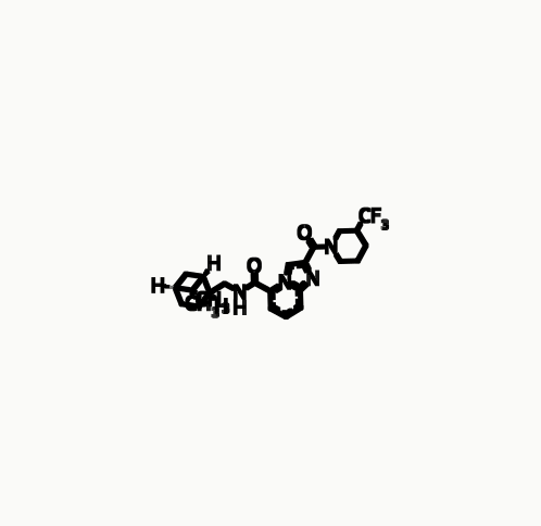 CC1(C)[C@H]2CC[C@@H](CNC(=O)c3cccc4nc(C(=O)N5CCCC(C(F)(F)F)C5)cn34)[C@H]1C2